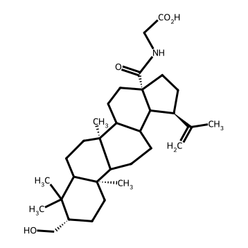 C=C(C)[C@@H]1CC[C@]2(C(=O)NCC(=O)O)CCC3C(CCC4[C@@]3(C)CCC3C(C)(C)[C@@H](CO)CC[C@@]34C)C12